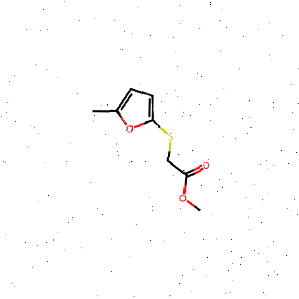 COC(=O)CSc1ccc(C)o1